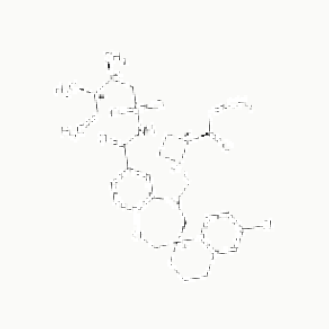 C=CC(=O)[C@@H]1CC[C@H]1CN1C[C@@]2(CCCc3cc(Cl)ccc32)COc2ccc(C(=O)NS(=O)(=O)C[C@H](C)[C@H](C)C=C)cc21